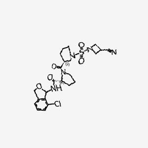 N#CC1CN(S(=O)(=O)N2CCC[C@H](C(=O)N3CCC[C@@H]3C(=O)NC3OCc4cccc(Cl)c43)C2)C1